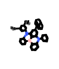 Cc1cc(C)cc(N2c3ccccc3B3c4ccccc4N(c4ccccc4)c4cc(C56CC7CC(CC(C7)C5)C6)cc2c43)c1